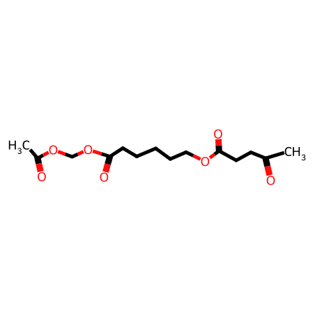 CC(=O)CCC(=O)OCCCCCC(=O)OCOC(C)=O